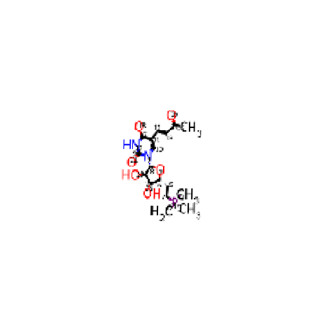 C=P(C)(C)CC[C@H]1O[C@@H](n2cc(/C=C/C(C)=O)c(=O)[nH]c2=O)C(O)[C@@H]1O